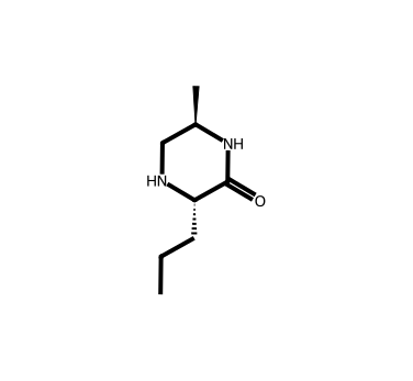 CCC[C@@H]1NC[C@@H](C)NC1=O